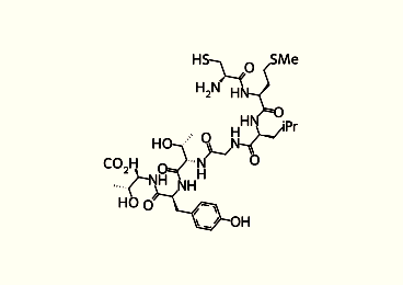 CSCC[C@H](NC(=O)[C@@H](N)CS)C(=O)N[C@@H](CC(C)C)C(=O)NCC(=O)N[C@H](C(=O)N[C@@H](Cc1ccc(O)cc1)C(=O)N[C@H](C(=O)O)[C@@H](C)O)[C@@H](C)O